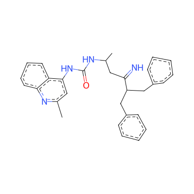 Cc1cc(NC(=O)NC(C)CC(=N)C(Cc2ccccc2)Cc2ccccc2)c2ccccc2n1